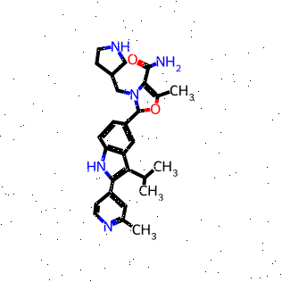 CC1=C(C(N)=O)N(CC2CCNC2)C(c2ccc3[nH]c(-c4ccnc(C)c4)c(C(C)C)c3c2)O1